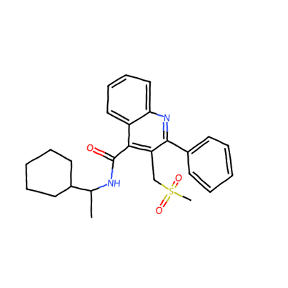 CC(NC(=O)c1c(CS(C)(=O)=O)c(-c2ccccc2)nc2ccccc12)C1CCCCC1